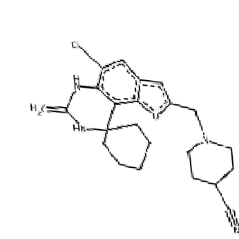 C=C1Nc2c(Cl)cc3cc(CN4CCC(C#N)CC4)oc3c2C2(CCCCC2)N1